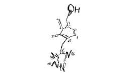 Oc1ccc(C2N=NN=N2)cc1